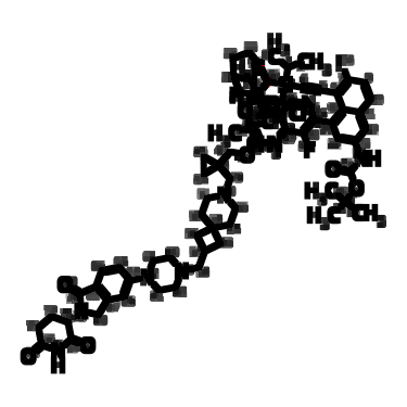 CC(C)[Si](C#Cc1c(F)ccc2cc(NC(=O)OC(C)(C)C)cc(-c3ncc4c(N5CC6CCC(C5)N6C(=O)OC(C)(C)C)nc(OCC5(CN6CCC7(CC6)CC(CN6CCN(c8ccc9c(c8)CN([C@H]8CCC(=O)NC8=O)C9=O)CC6)C7)CC5)nc4c3F)c12)(C(C)C)C(C)C